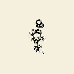 Nc1ncnc2c1ncn2[C@@H]1O[C@@H]2COP(=O)(S)O[C@H]3[C@@H](O)[C@H](n4cc5c6c(ncnc64)OCCC5)O[C@@H]3COP(=O)(S)O[C@@H]1[C@@H]2O